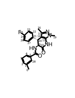 Cc1cccc(C(=O)N[C@@H]2C(=O)Nc3c(c(C)nn3C)[C@H]2c2ccc(F)cc2)c1